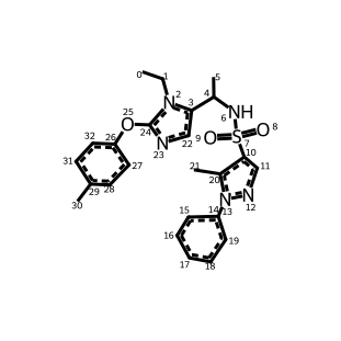 CCn1c(C(C)NS(=O)(=O)c2cnn(-c3ccccc3)c2C)cnc1Oc1ccc(C)cc1